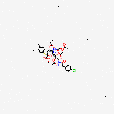 COC(=O)[C@]1(Sc2ccc(C)cc2)C[C@H](OC(C)=O)[C@@H](NC(=O)COC(C)=O)[C@H]([C@H](OC(C)=O)[C@@H](CNC(=O)Cc2ccc(Cl)cc2)OC(C)=O)O1